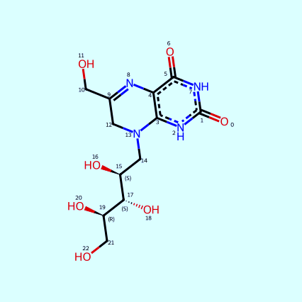 O=c1[nH]c2c(c(=O)[nH]1)N=C(CO)CN2C[C@H](O)[C@H](O)[C@H](O)CO